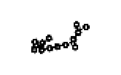 c1ccc(-c2ccc(C3(c4cccc(-c5ccc(-c6ccc(-c7ccc(-n8c9ccccc9c9cc(-c%10ccc%11c(c%10)c%10ccccc%10n%11-c%10ccccc%10)ccc98)cc7)cc6)cc5)c4)c4ccccc4-c4ccccc43)cc2)cc1